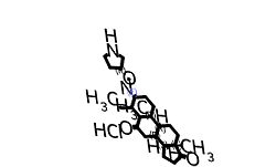 CCC1/C(=N/O[C@@H]2CCNC2)CC[C@@]2(C)C1C(=O)C[C@@H]1[C@H]2CC[C@]2(C)C(=O)CC[C@@H]12.Cl